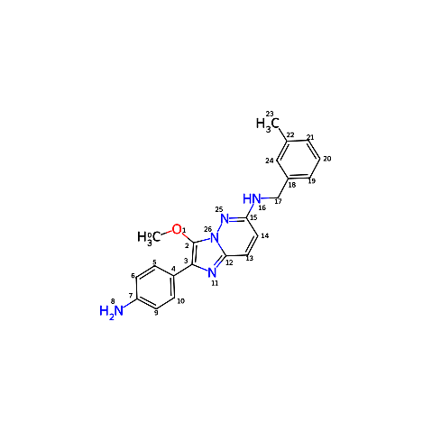 COc1c(-c2ccc(N)cc2)nc2ccc(NCc3cccc(C)c3)nn12